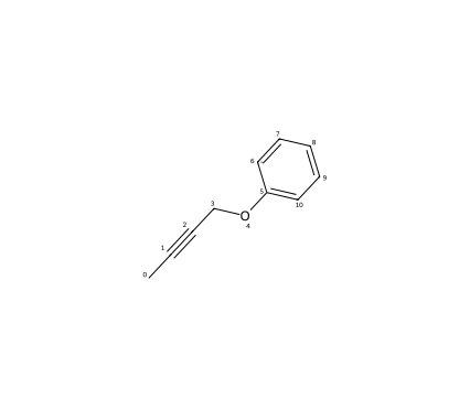 CC#CCOc1[c]cccc1